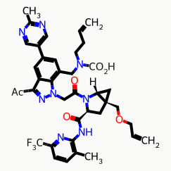 C=CCCN(Cc1cc(-c2cnc(C)nc2)cc2c(C(C)=O)nn(CC(=O)N3[C@H](C(=O)Nc4nc(C(F)(F)F)ccc4C)C[C@@]4(COCC=C)C[C@@H]34)c12)C(=O)O